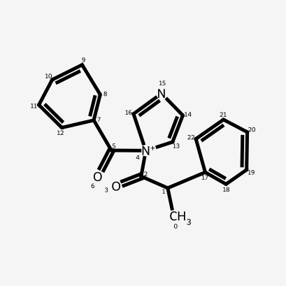 CC(C(=O)[N+]1(C(=O)c2ccccc2)C=CN=C1)c1ccccc1